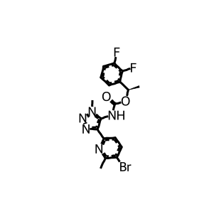 Cc1nc(-c2nnn(C)c2NC(=O)O[C@H](C)c2cccc(F)c2F)ccc1Br